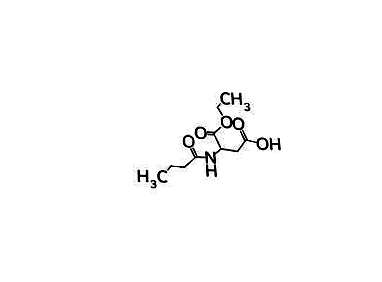 CCCC(=O)NC(CC(=O)O)C(=O)OCC